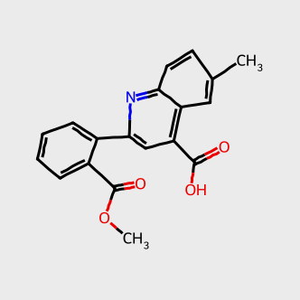 COC(=O)c1ccccc1-c1cc(C(=O)O)c2cc(C)ccc2n1